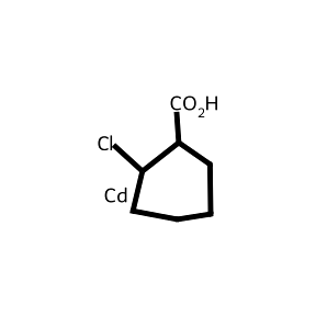 O=C(O)C1CCCCC1Cl.[Cd]